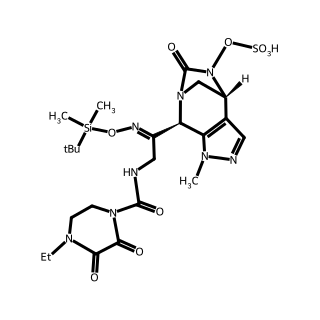 CCN1CCN(C(=O)NC/C(=N\O[Si](C)(C)C(C)(C)C)[C@@H]2c3c(cnn3C)[C@@H]3CN2C(=O)N3OS(=O)(=O)O)C(=O)C1=O